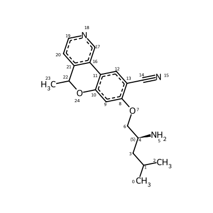 CC(C)C[C@H](N)COc1cc2c(cc1C#N)-c1cnccc1C(C)O2